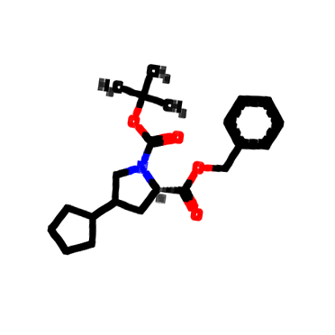 CC(C)(C)OC(=O)N1CC(C2CCCC2)C[C@H]1C(=O)OCc1ccccc1